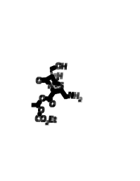 CCOC(=O)OC(C)OC(=O)C1=C(CN)S[C@@H]2[C@@H](CO)C(=O)N12